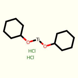 C1CCC([O][Ti][O]C2CCCCC2)CC1.Cl.Cl